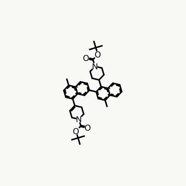 Cc1ccc(C2=CCN(C(=O)OC(C)(C)C)CC2)c2cc(-c3cc(C)c4ccccc4c3C3CCN(C(=O)OC(C)(C)C)CC3)ccc12